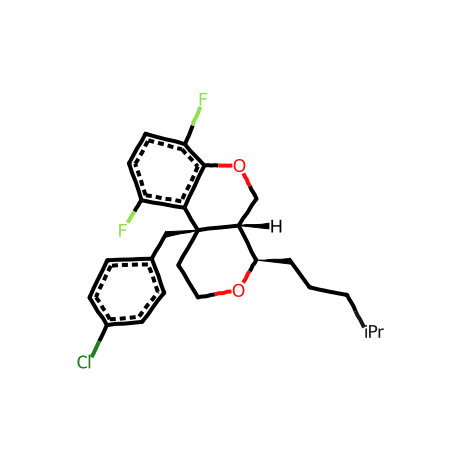 CC(C)CCC[C@H]1OCC[C@]2(Cc3ccc(Cl)cc3)c3c(F)ccc(F)c3OC[C@H]12